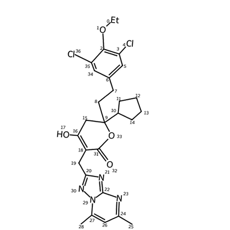 CCOc1c(Cl)cc(CCC2(C3CCCC3)CC(O)=C(Cc3nc4nc(C)cc(C)n4n3)C(=O)O2)cc1Cl